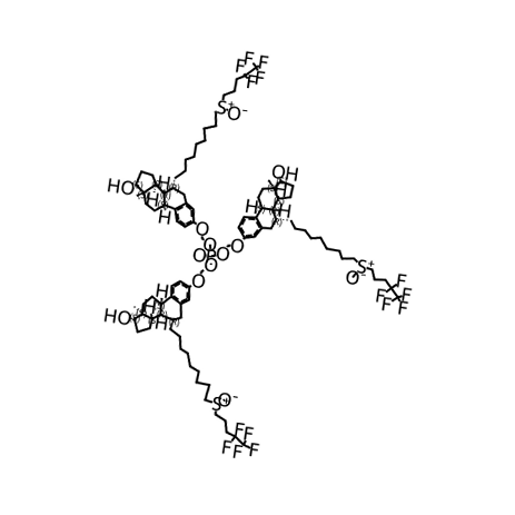 C[C@]12CC[C@@H]3c4ccc(OCOP(=O)(OCOc5ccc6c(c5)C[C@@H](CCCCCCCCC[S+]([O-])CCCC(F)(F)C(F)(F)F)[C@@H]5[C@@H]6CC[C@]6(C)[C@@H](O)CC[C@@H]56)OCOc5ccc6c(c5)C[C@@H](CCCCCCCCC[S+]([O-])CCCC(F)(F)C(F)(F)F)[C@@H]5[C@@H]6CC[C@]6(C)[C@@H](O)CC[C@@H]56)cc4C[C@@H](CCCCCCCCC[S+]([O-])CCCC(F)(F)C(F)(F)F)[C@H]3[C@@H]1CC[C@@H]2O